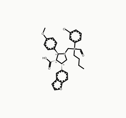 CCCC[N+](C=O)(CN1C[C@H](c2ccc3occc3c2)[C@H](C(=O)O)[C@H]1c1ccc(OC)cc1)c1cccc(Cl)c1